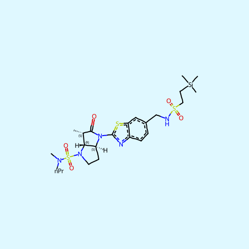 CCCN(C)S(=O)(=O)N1CC[C@H]2[C@H]1[C@H](C)C(=O)N2c1nc2ccc(CNS(=O)(=O)CC[Si](C)(C)C)cc2s1